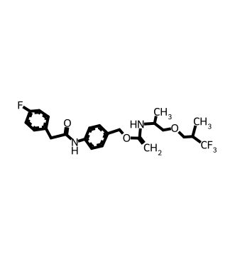 C=C(NC(C)COCC(C)C(F)(F)F)OCc1ccc(NC(=O)Cc2ccc(F)cc2)cc1